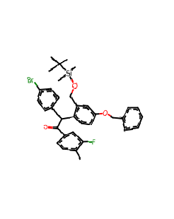 Cc1ccc(C(=O)C(c2ccc(Br)cc2)c2ccc(OCc3ccccc3)cc2CO[Si](C)(C)C(C)(C)C)cc1F